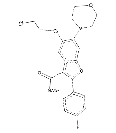 CNC(=O)c1c(-c2ccc(F)cc2)oc2cc(N3CCOCC3)c(OCCCl)cc12